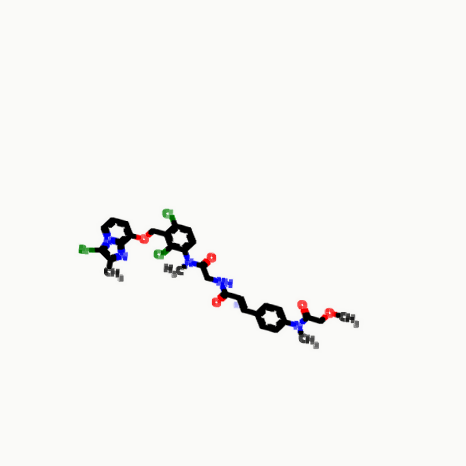 COCC(=O)N(C)c1ccc(/C=C/C(=O)NCC(=O)N(C)c2ccc(Cl)c(COc3cccn4c(Br)c(C)nc34)c2Cl)cc1